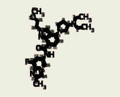 CCN(CC)C1CCN(c2ccc(C(=O)Nc3cc(F)c4nc(C)cn4c3)c3nn(CCOC)cc23)C1